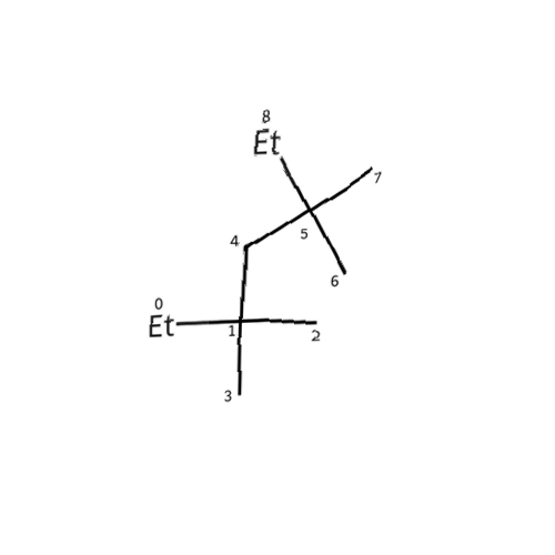 [CH2]CC(C)(C)CC(C)(C)CC